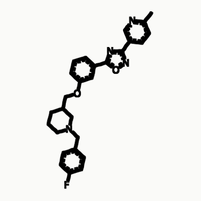 Cc1ccc(-c2noc(-c3cccc(OCC4CCCN(Cc5ccc(F)cc5)C4)c3)n2)cn1